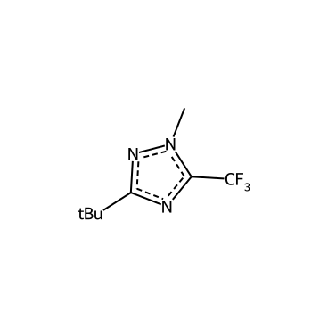 Cn1nc(C(C)(C)C)nc1C(F)(F)F